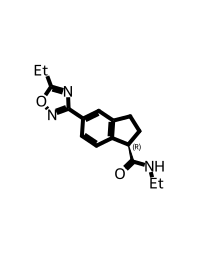 CCNC(=O)[C@@H]1CCc2cc(-c3noc(CC)n3)ccc21